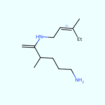 C=C(NC/C=C(/C)CC)C(C)CCCN